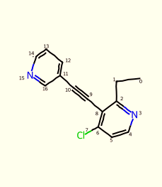 CCc1nccc(Cl)c1C#Cc1cc[c]nc1